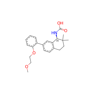 COCCOc1ccccc1-c1ccc2c(c1)[C@@H](NC(=O)O)C(C)(C)CC2